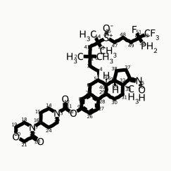 CC(C)(CC[C@@H]1Cc2cc(OC(=O)N3CCC(N4CCOCC4=O)CC3)ccc2C2CC[C@]3(C)/C(=N\O)CC[C@H]3[C@@H]21)CC(C)(C)[S+]([O-])CCCC(F)(P)C(F)(F)F